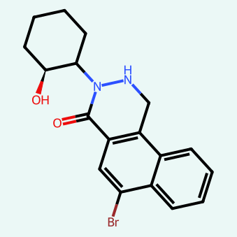 O=C1c2cc(Br)c3ccccc3c2CNN1C1CCCC[C@@H]1O